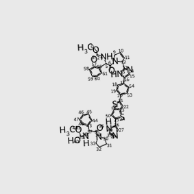 COC(=O)N[C@@H](C(=O)N1CC=C[C@H]1c1ncc(-c2ccc(-c3cc4sc(-c5cnc([C@@H]6CCCN6C(=O)[C@H](NC(O)OC)c6ccccc6)[nH]5)cc4s3)cc2)[nH]1)c1ccccc1